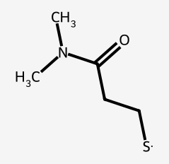 CN(C)C(=O)CC[S]